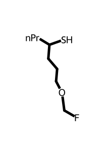 CCCC(S)CCCOCF